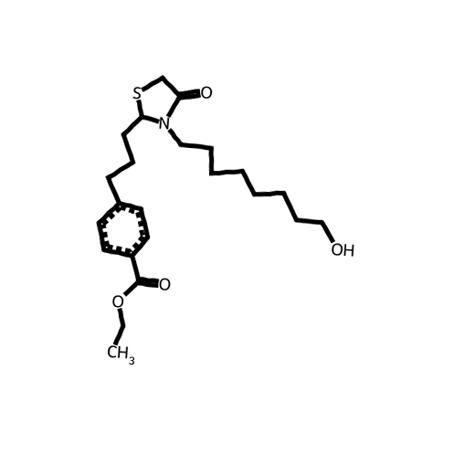 CCOC(=O)c1ccc(CCCC2SCC(=O)N2CCCCCCCCO)cc1